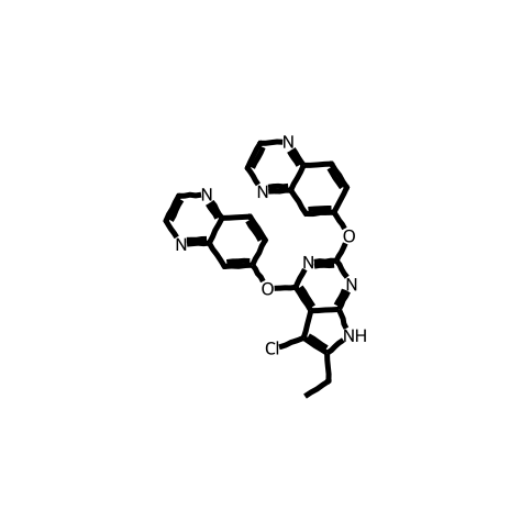 CCc1[nH]c2nc(Oc3ccc4nccnc4c3)nc(Oc3ccc4nccnc4c3)c2c1Cl